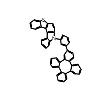 c1cc(-c2ccc3c(c2)-c2ccccc2-c2ccccc2-c2ccccc2-3)cc(-n2c3ccccc3c3c4c(ccc32)sc2ccccc24)c1